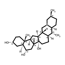 C[C@H]1CC[C@H]2[C@H](C)[C@H]3CC[C@@]4(O)[C@@H]5C[C@H](O)[C@H]6C[C@H](O)CC[C@]6(C)[C@H]5C[C@H]4[C@@H]3CN2C1